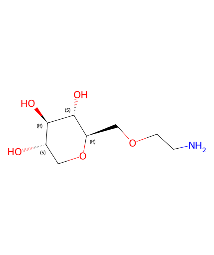 NCCOC[C@H]1OC[C@H](O)[C@@H](O)[C@@H]1O